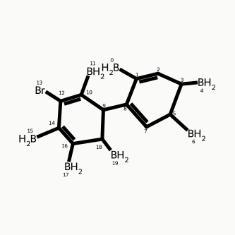 BC1=CC(B)C(B)C=C1C1C(B)=C(Br)C(B)=C(B)C1B